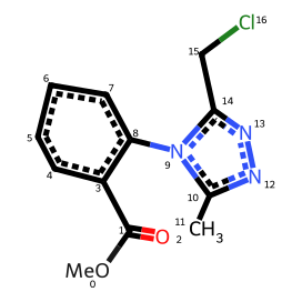 COC(=O)c1ccccc1-n1c(C)nnc1CCl